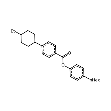 CCCCCCc1ccc(OC(=O)c2ccc(C3CCC(CC)CC3)cc2)cc1